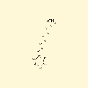 CCCCCCCCCC1[CH]CC[CH]C1